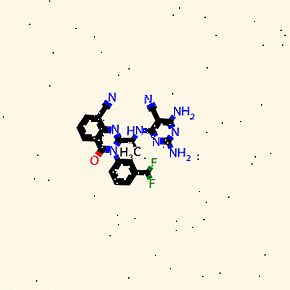 C[C@H](Nc1nc(N)nc(N)c1C#N)c1nc2c(C#N)cccc2c(=O)n1-c1cccc(C(F)F)c1